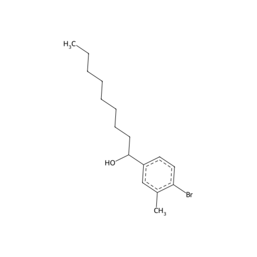 CCCCCCCCC(O)c1ccc(Br)c(C)c1